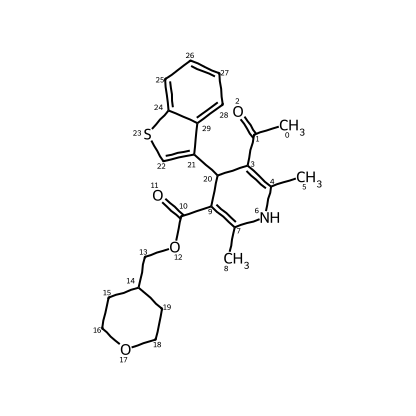 CC(=O)C1=C(C)NC(C)=C(C(=O)OCC2CCOCC2)C1c1csc2ccccc12